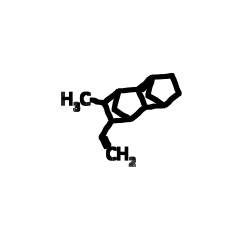 C=CC1C(C)C2CC1C1C2=C2CCC1C2